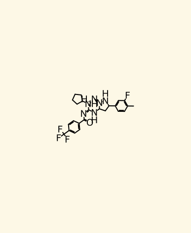 Cc1ccc(C2CC(N/C(=N\C(=O)c3ccc(C(F)(F)F)cc3)NC3CCCC3)N(N)N2)cc1F